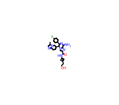 Cc1cnc2ccc(-c3c(-c4ccc(F)cc4)nc(N)c4nc(C(=O)NC56CC(CCO)(C5)C6)cn34)cn12